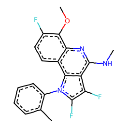 CNc1nc2c(OC)c(F)ccc2c2c1c(F)c(F)n2-c1ccccc1C